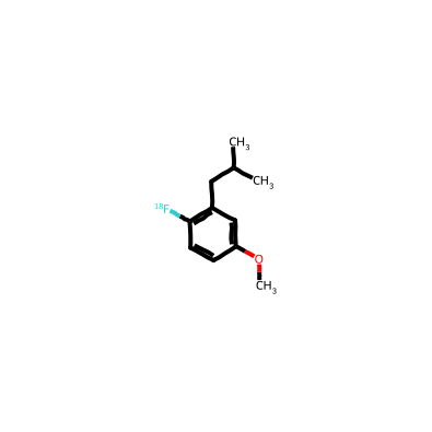 COc1ccc([18F])c(CC(C)C)c1